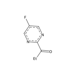 CCC(=O)c1ncc(F)cn1